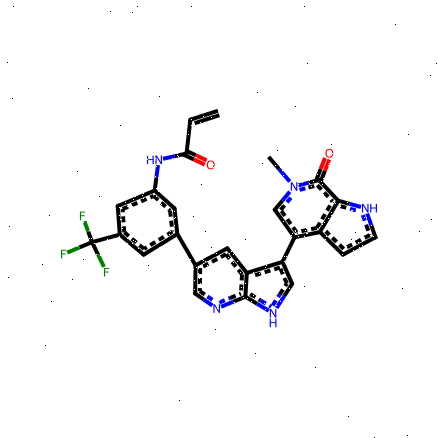 C=CC(=O)Nc1cc(-c2cnc3[nH]cc(-c4cn(C)c(=O)c5[nH]ccc45)c3c2)cc(C(F)(F)F)c1